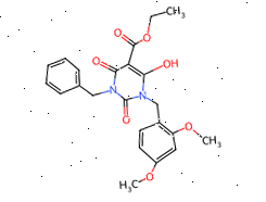 CCOC(=O)c1c(O)n(Cc2ccc(OC)cc2OC)c(=O)n(Cc2ccccc2)c1=O